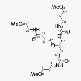 COCCCNC(=O)OCC(COC(=O)NCCCOC)OCCCC(=O)NCCOC